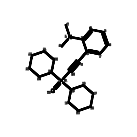 CN(C)c1ccccc1C#CP(=O)(C1CCCCC1)C1CCCCC1